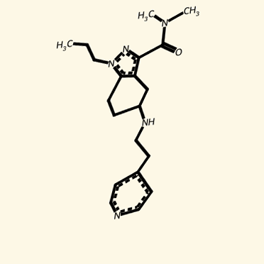 CCCn1nc(C(=O)N(C)C)c2c1CCC(NCCc1ccncc1)C2